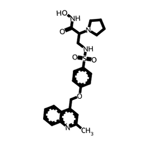 Cc1cc(COc2ccc(S(=O)(=O)NCC(C(=O)NO)N3CCCC3)cc2)c2ccccc2n1